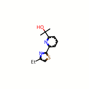 CCc1csc(-c2cccc(C(C)(C)O)n2)n1